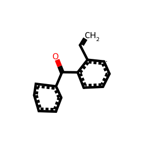 C=Cc1[c]cccc1C(=O)c1ccccc1